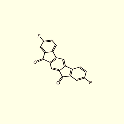 O=c1c2cc(F)ccc2c2cc3c(cc12)c(=O)c1cc(F)ccc13